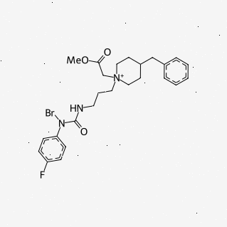 COC(=O)C[N+]1(CCCNC(=O)N(Br)c2ccc(F)cc2)CCC(Cc2ccccc2)CC1